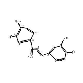 O=C(/C=C/c1ccc(F)c(F)c1)c1ccc(F)c(F)c1